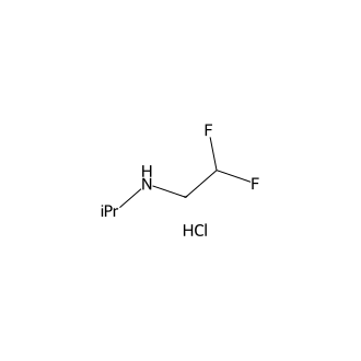 CC(C)NCC(F)F.Cl